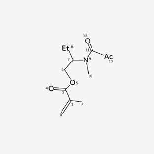 C=C(C)C(=O)OCC(CC)N(C)C(=O)C(C)=O